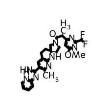 COc1cc([C@@H](C)C(=O)N2CC[C@@]3(CCc4cc(C(=N)/N=c5/cccc[nH]5)c(C)nc4N3)C2)nc(C(F)F)n1